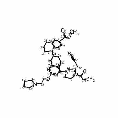 C=CC(=O)N1CCN(c2nc(OCCN3CCCC3)nc3c2CCC(N2CCCc4cc(C(=O)OC)ccc42)C3)C[C@@H]1CC#N